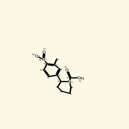 Cc1cc(C2CCCCN2C(=O)O)ccc1[N+](=O)[O-]